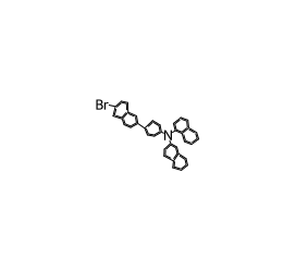 Brc1ccc2cc(-c3ccc(N(c4ccc5ccccc5c4)c4cccc5ccccc45)cc3)ccc2c1